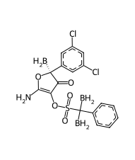 BC(B)(c1ccccc1)S(=O)(=O)OC1=C(N)O[C@@](B)(c2cc(Cl)cc(Cl)c2)C1=O